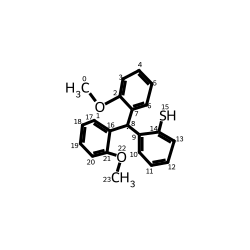 COc1ccccc1[C](c1ccccc1S)c1ccccc1OC